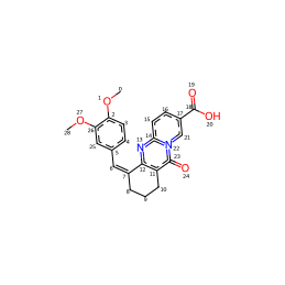 COc1ccc(/C=C2/CCCc3c2nc2ccc(C(=O)O)cn2c3=O)cc1OC